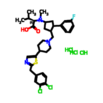 CC(C)[C@H](C(=O)O)N(C)C1CC(CN2CCC(c3cnc(Cc4ccc(Cl)c(Cl)c4)s3)CC2)C(c2cccc(F)c2)C1.Cl.Cl.Cl